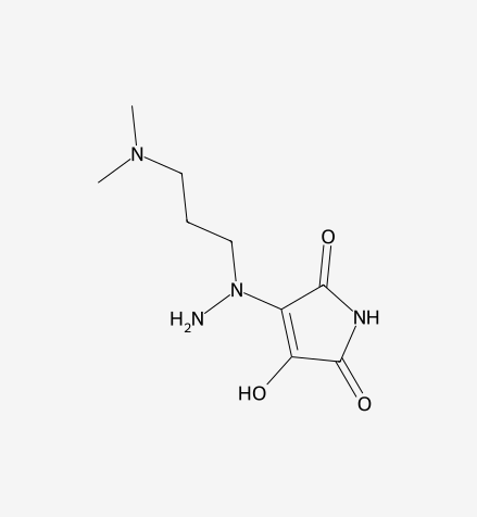 CN(C)CCCN(N)C1=C(O)C(=O)NC1=O